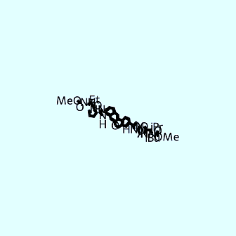 CC[C@H](CNC(=O)OC)C(=O)N1CCC[C@H]1c1nc2ccc3cc4c(cc3c2[nH]1)OCc1cc(-c2cnc([C@H](C)N(C(=O)[C@@H](NC(=O)OC)C(C)C)[C@@H](C)CC)[nH]2)ccc1-4